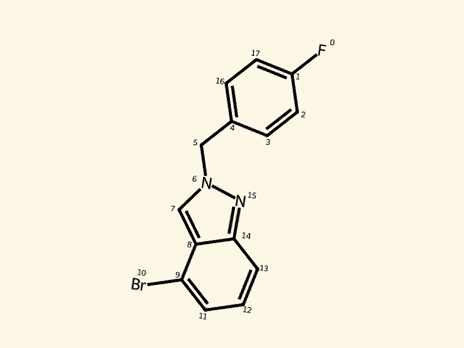 Fc1ccc(Cn2cc3c(Br)cccc3n2)cc1